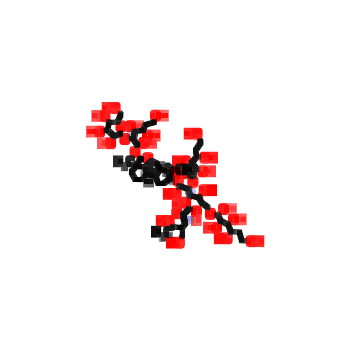 C=C1C[C@@]23CCC4[C@](C)(C(=O)OC(O)/C(OC5OC(CO)C(O)C(O)C5O)=C(/O)C(O)CCO)CCC[C@@]4(C)[C@@H]2CC[C@]1(OC(O)/C(OC(O)C(O)C(O)C(O)CCO)=C(\OC(O)/C(O)=C/C(CO)C(C)O)C(O)CCOC(O)C(O)C(O)C(O)CCO)C3